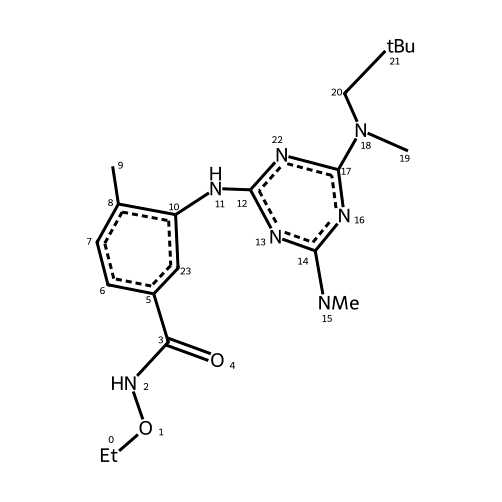 CCONC(=O)c1ccc(C)c(Nc2nc(NC)nc(N(C)CC(C)(C)C)n2)c1